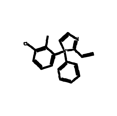 C=CC1=NC=C[N+]1(c1ccccc1)c1cccc(Cl)c1C